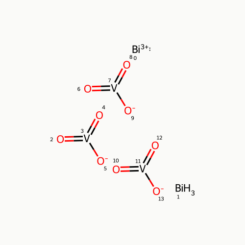 [Bi+3].[BiH3].[O]=[V](=[O])[O-].[O]=[V](=[O])[O-].[O]=[V](=[O])[O-]